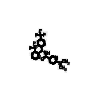 CN(C)c1ccc(C(=O)N[C@@H](c2ccc(C(F)(F)F)cc2)c2ncccc2C(F)(F)F)cn1